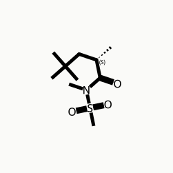 C[C@@H](CC(C)(C)C)C(=O)N(C)S(C)(=O)=O